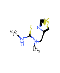 CNC(=S)N(C)Cc1cscn1